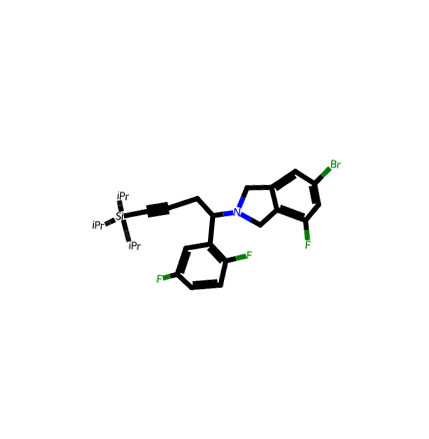 CC(C)[Si](C#CCC(c1cc(F)ccc1F)N1Cc2cc(Br)cc(F)c2C1)(C(C)C)C(C)C